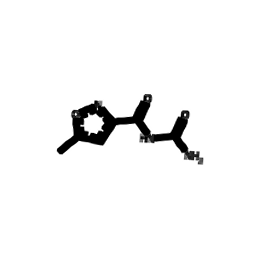 Cc1cc(C(=O)NC(N)=O)no1